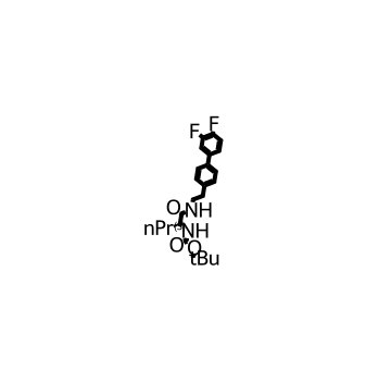 CCC[C@H](NC(=O)OC(C)(C)C)C(=O)NCCc1ccc(-c2ccc(F)c(F)c2)cc1